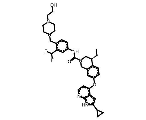 CC[C@@H]1CN(C(=O)Nc2ccc(CN3CCN(CCO)CC3)c(C(F)F)c2)Cc2cc(Oc3ccnc4[nH]c(C5CC5)cc34)ccc21